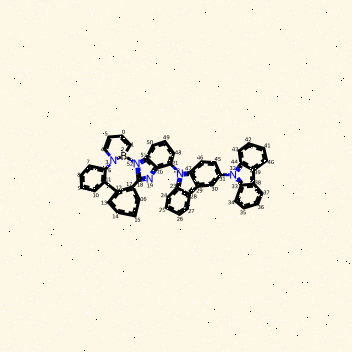 C1=CB2N(C=C1)c1ccccc1-c1ccccc1-c1nc3c(-n4c5ccccc5c5cc(-n6c7ccccc7c7ccccc76)ccc54)cccc3n12